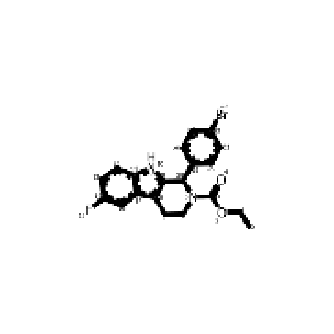 CCOC(=O)N1CCc2c([nH]c3ccc(F)cc23)C1c1ccc(Br)cc1